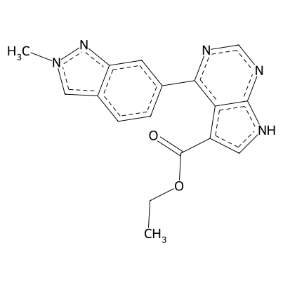 CCOC(=O)c1c[nH]c2ncnc(-c3ccc4cn(C)nc4c3)c12